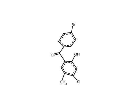 Cc1cc(C(=O)c2ccc(Br)cc2)c(O)cc1Cl